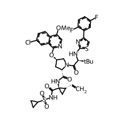 C=C[C@@H]1C[C@]1(NC(=O)[C@@H]1C[C@@H](Oc2ncc(OC)c3ccc(Cl)cc23)CN1C(=O)[C@@H](Nc1nc(-c2cc(F)ccc2F)cs1)C(C)(C)C)C(=O)NS(=O)(=O)C1CC1